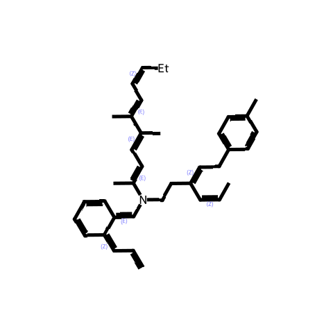 C=C/C=c1/cccc/c1=C\N(CCC(/C=C\C)=C/Cc1ccc(C)cc1)/C(C)=C/C=C(C)/C(C)=C/C=C\CC